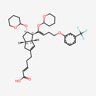 O=C(O)C=CCCC1=C[C@@H]2[C@H](C1)C[C@H](OC1CCCCO1)[C@H]2C(=CCCOc1cccc(C(F)(F)F)c1)OC1CCCCO1